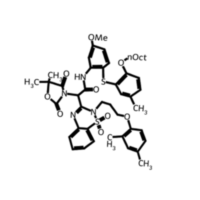 CCCCCCCCOc1ccc(C)cc1Sc1ccc(OC)cc1NC(=O)C(C1=Nc2ccccc2S(=O)(=O)N1CCCOc1ccc(C)cc1C)N1C(=O)OC(C)(C)C1=O